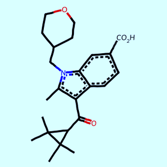 Cc1c(C(=O)C2C(C)(C)C2(C)C)c2ccc(C(=O)O)cc2n1CC1CCOCC1